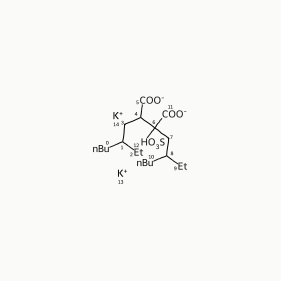 CCCCC(CC)CC(C(=O)[O-])C(CC(CC)CCCC)(C(=O)[O-])S(=O)(=O)O.[K+].[K+]